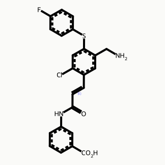 NCc1cc(/C=C/C(=O)Nc2cccc(C(=O)O)c2)c(Cl)cc1Sc1ccc(F)cc1